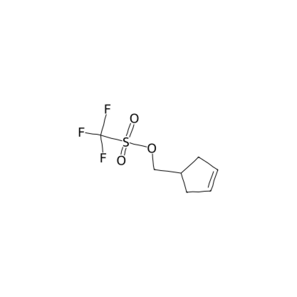 O=S(=O)(OCC1CC=CC1)C(F)(F)F